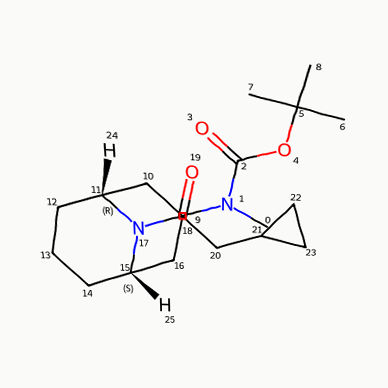 CN(C(=O)OC(C)(C)C)C1C[C@H]2CCC[C@@H](C1)N2C(=O)CC1CC1